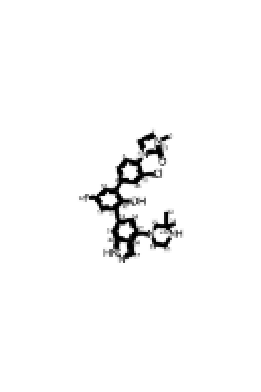 Cn1ccn(-c2ccc(-c3cc(F)cc(-c4cc(N5CCNC(C)(C)C5)c5cn[nH]c5c4)c3O)cc2Cl)c1=O